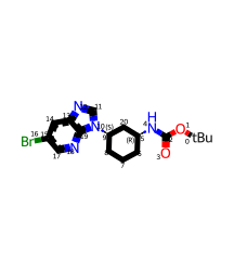 CC(C)(C)OC(=O)N[C@@H]1CCC[C@H](n2cnc3cc(Br)cnc32)C1